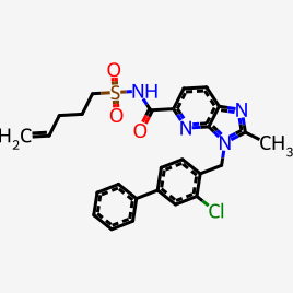 C=CCCCS(=O)(=O)NC(=O)c1ccc2nc(C)n(Cc3ccc(-c4ccccc4)cc3Cl)c2n1